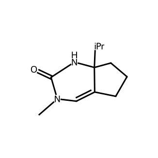 CC(C)C12CCCC1=CN(C)C(=O)N2